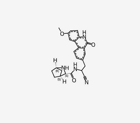 COc1ccc2[nH]c(=O)c3cc(CC(C#N)NC(=O)[C@H]4N[C@@H]5CC[C@H]4C5)ccc3c2c1